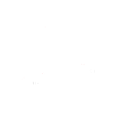 COc1ccc(OC)c(C2=CC(=O)CC(=S)C2CCO)c1